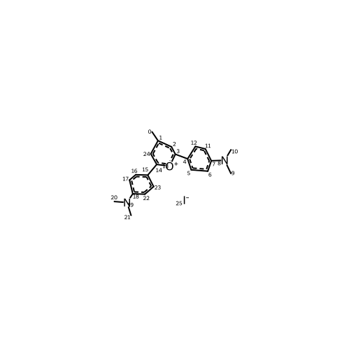 Cc1cc(-c2ccc(N(C)C)cc2)[o+]c(-c2ccc(N(C)C)cc2)c1.[I-]